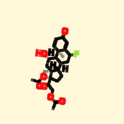 CC(=O)OCC(=O)[C@]1(OC(C)=O)CC[C@H]2[C@@H]3C[C@H](F)C4=CC(=O)C=C[C@]4(C)[C@@H]3[C@@H](O)C[C@@]21C